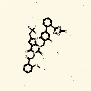 COc1ccccc1C(=O)Cn1c(=O)c2cc(CC(F)(F)F)sc2n(Cc2c(F)cc(-c3ccccc3-c3noc(=O)[nH]3)cc2F)c1=O.[K]